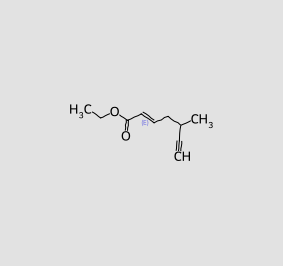 C#CC(C)C/C=C/C(=O)OCC